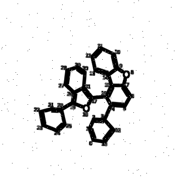 c1ccc(-c2ccc3oc4ccccc4c3c2-c2oc(-c3ccccc3)c3ccccc23)cc1